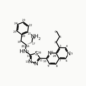 CCCc1cncc2ccc(-c3nnc(N[C@@H](CN)Cc4ccccc4)s3)nc12